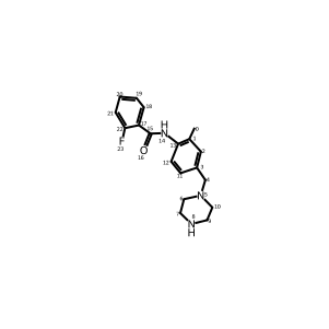 Cc1cc(CN2CCNCC2)ccc1NC(=O)c1ccccc1F